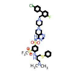 CN(C)CCC(CSc1ccccc1)Nc1ccc(S(=O)(=O)Nc2ncnc3c2CCN(C2CCN(Cc4cc(F)ccc4-c4ccc(Cl)cc4)CC2)C3)cc1S(=O)(=O)C(F)(F)F